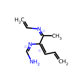 C=C/C=C(/N=C\N)C(\C)=N/C=C